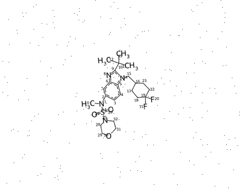 CN(c1ccc2c(c1)nc(C(C)(C)C)n2CC1CCC(F)(F)CC1)S(=O)(=O)N1CCOCC1